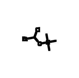 CCC(Cl)O[Si](C)(C)C